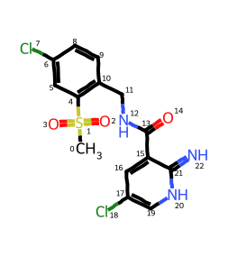 CS(=O)(=O)c1cc(Cl)ccc1CNC(=O)c1cc(Cl)c[nH]c1=N